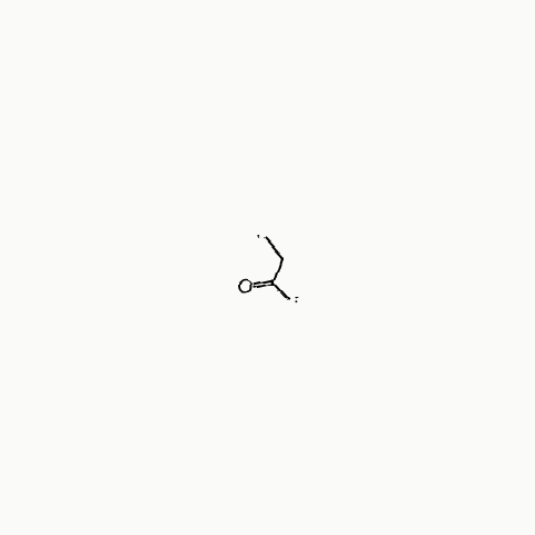 [CH]C(=O)C[CH2]